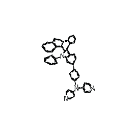 c1ccc(-n2c3cc(-c4ccc(N(c5ccncc5)c5ccncc5)cc4)ccc3c3c4ccccc4c4ccc5ccccc5c4c32)cc1